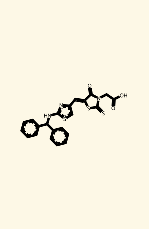 O=C(O)CN1C(=O)C(=Cc2csc(NC(c3ccccc3)c3ccccc3)n2)SC1=S